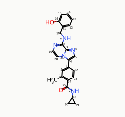 Cc1cc(-c2cnc3c(NCc4ccccc4O)nccn23)ccc1C(=O)NC1CC1